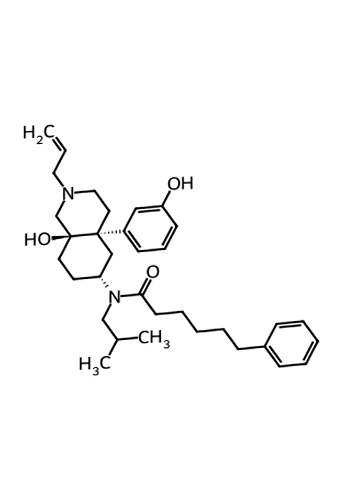 C=CCN1CC[C@@]2(c3cccc(O)c3)C[C@H](N(CC(C)C)C(=O)CCCCCc3ccccc3)CC[C@]2(O)C1